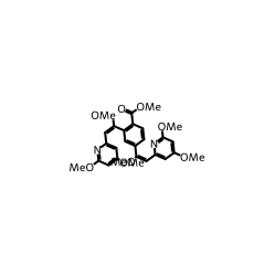 COC(=O)c1ccc(/C(=C\c2cc(OC)cc(OC)n2)OC)cc1/C(=C\c1cc(OC)cc(OC)n1)OC